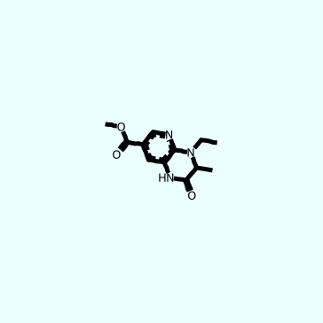 CCN1c2ncc(C(=O)OC)cc2NC(=O)C1C